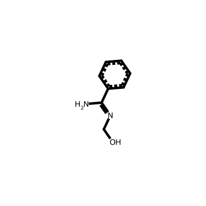 NC(=NCO)c1ccccc1